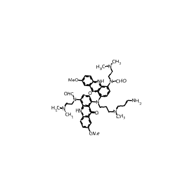 COc1ccc2[nH]c3c(N(C=O)CCN(C)C)ccc(N(CCCN(C)CCCN)c4ccc(N(C=O)CCN(C)C)c5[nH]c6ccc(OC)cc6c(=O)c45)c3c(=O)c2c1